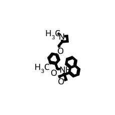 Cc1ccc(OCC2CCN2C)cc1C(=O)NC1(c2cccc3ccccc23)COC1